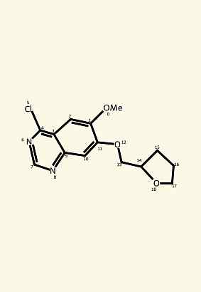 COc1cc2c(Cl)ncnc2cc1OCC1CCCO1